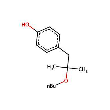 CCCCOC(C)(C)Cc1ccc(O)cc1